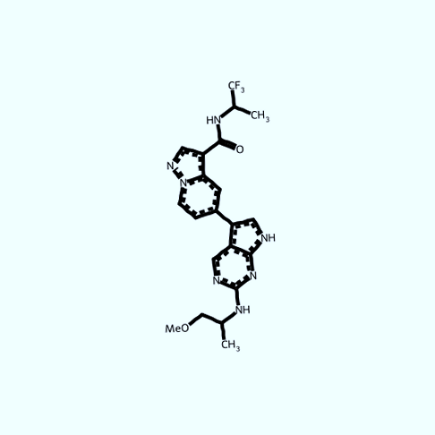 COCC(C)Nc1ncc2c(-c3ccn4ncc(C(=O)NC(C)C(F)(F)F)c4c3)c[nH]c2n1